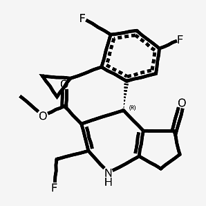 COC(=O)C1=C(CF)NC2=C(C(=O)CC2)[C@H]1c1cc(F)cc(F)c1C1CC1